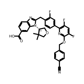 CC1(C)COC[C@H]1n1c(Cc2ccc(-c3nc(OCc4ccc(C#N)cc4)c(F)cc3F)cc2F)nc2ccc(C(=O)O)cc21